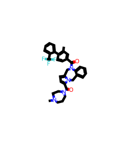 Cc1cc(C(=O)N2Cc3ccc(C(=O)N4CCCN(C)CC4)n3Cc3ccccc32)ccc1-c1ccccc1C(F)(F)F